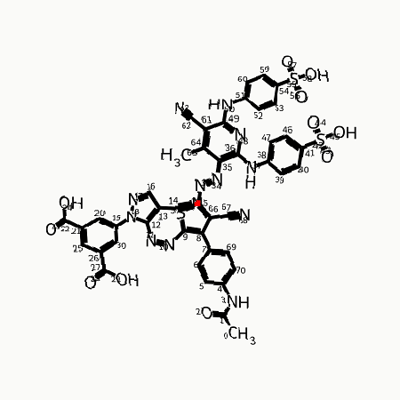 CC(=O)Nc1ccc(-c2c(/N=N\c3c(C#N)cnn3-c3cc(C(=O)O)cc(C(=O)O)c3)sc(N=Nc3c(Nc4ccc(S(=O)(=O)O)cc4)nc(Nc4ccc(S(=O)(=O)O)cc4)c(C#N)c3C)c2C#N)cc1